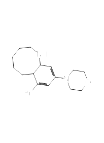 BrC1=CC(N2CCOCC2)=CC2NCCCCCC12